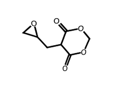 O=C1OCOC(=O)C1CC1CO1